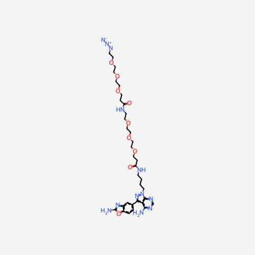 [N-]=[N+]=NCCOCCOCCOCCC(=O)NCCOCCOCCOCCC(=O)NCCCCn1nc(-c2ccc3oc(N)nc3c2)c2c(N)ncnc21